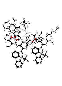 CCC1(C(=O)O)O[C@@H](O[C@@H]2C(CO[Si](c3ccccc3)(c3ccccc3)C(C)(C)C)O[C@@H](O[C@H]3C(OC)[C@H]4OCC3(C(=O)O)O[C@H]4O[C@@H]3C(CO[Si](c4ccccc4)(c4ccccc4)C(C)(C)C)O[C@H](OC)C(OSOOO)[C@H]3OC)C(OSOOO)[C@H]2OSOOO)C(OC)[C@@H](OC)[C@@H]1O[C@@H]1CC(COS(=O)(=O)O)[C@@H](OC)[C@H](OC)C1OC